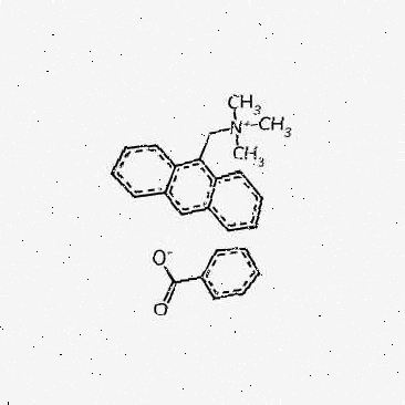 C[N+](C)(C)Cc1c2ccccc2cc2ccccc12.O=C([O-])c1ccccc1